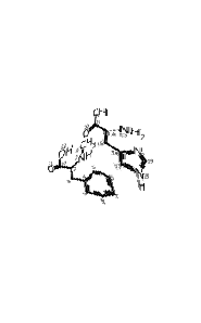 CN[C@@H](Cc1ccccc1)C(=O)O.N[C@H](Cc1c[nH]cn1)C(=O)O